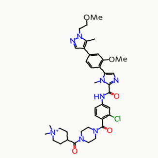 COCCn1ncc(-c2ccc(-c3cnc(C(=O)Nc4ccc(C(=O)N5CCN(C(=O)C6CC[N+](C)(C)CC6)CC5)c(Cl)c4)n3C)c(OC)c2)c1C